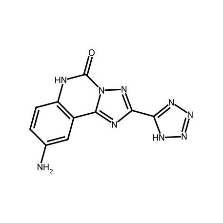 Nc1ccc2[nH]c(=O)n3nc(-c4nnn[nH]4)nc3c2c1